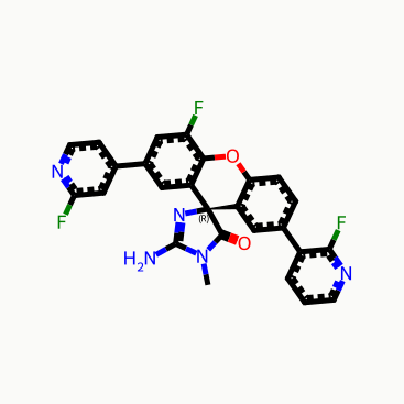 CN1C(=O)[C@@]2(N=C1N)c1cc(-c3cccnc3F)ccc1Oc1c(F)cc(-c3ccnc(F)c3)cc12